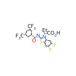 CCC(C(=O)O)n1/c(=N/C(=O)c2cc(C(F)(F)F)cc(C(F)(F)F)c2)sc2cc(F)c(F)cc21